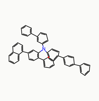 c1ccc(-c2ccc(-c3ccc(N(c4cccc(-c5ccccc5)c4)c4cc(-c5cccc6ccccc56)ccc4-c4ccccc4)cc3)cc2)cc1